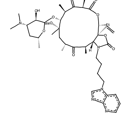 C=C[C@]12OC(=O)N(CCCCn3cnc4ncccc43)[C@@H]1[C@@H](C)C(=O)[C@H](C)C[C@](C)(OC)[C@H](OC1O[C@H](C)C[C@H](N(C)C)[C@H]1O)[C@@H](C)C(=O)[C@@H](C)C(=O)O[C@@H]2CC